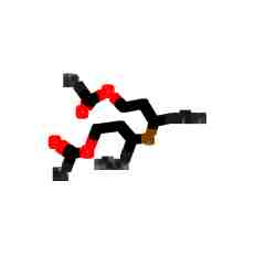 CCCCCCCCCC(CCOC(=O)CC)SC(CCCCCCCCC)CCOC(=O)CC